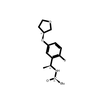 C[C@H](N[S@+]([O-])C(C)(C)C)c1cc(O[C@H]2CCOC2)ccc1F